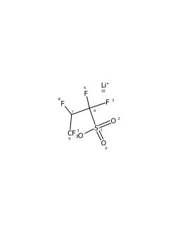 O=S(=O)([O-])C(F)(F)C(F)C(F)(F)F.[Li+]